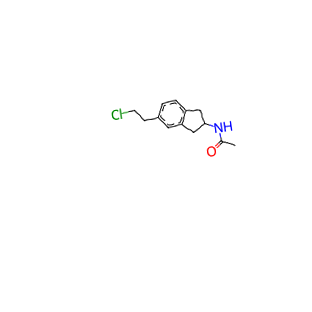 CC(=O)NC1Cc2ccc(CCCl)cc2C1